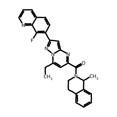 CCc1cc(C(=O)N2CCc3ccccc3C2C)nc2cc(-c3ccc4cccnc4c3F)nn12